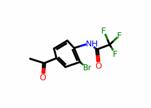 CC(=O)c1ccc(NC(=O)C(F)(F)F)c(Br)c1